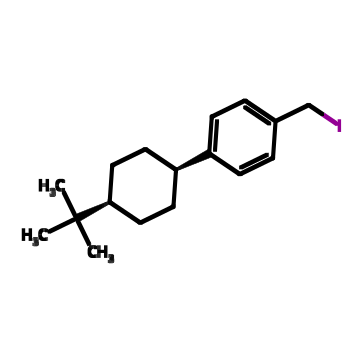 CC(C)(C)[C@H]1CC[C@@H](c2ccc(CI)cc2)CC1